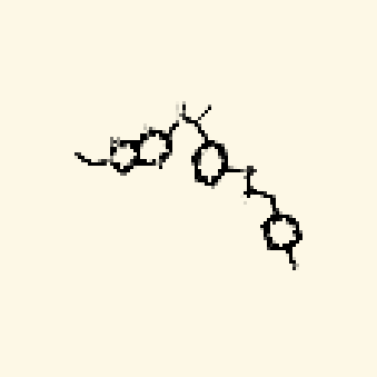 CCn1cc2ncc(N[C@@H](C)c3cccc(NC(=O)Cc4ccc(F)cc4)c3)nc2n1